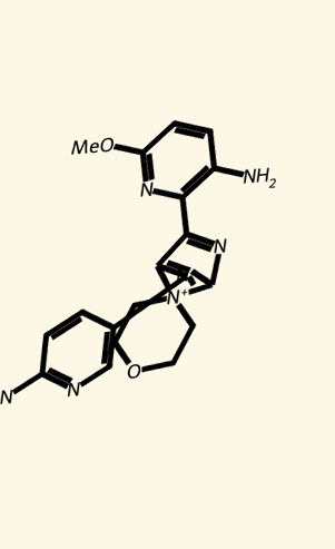 COc1ccc(N)c(C2=NC3=NC(c4ccc(N)nc4)=C2[N+]32CCOCC2)n1